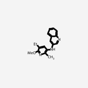 CCc1cc(Nc2cnc3ccccc3c2)c(C)nc1OC